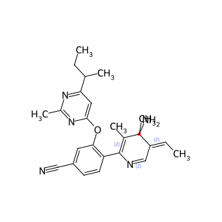 C\C=C(/C=N\C(=C(\C)CC)c1ccc(C#N)cc1Oc1cc(C(C)CC)nc(C)n1)CN